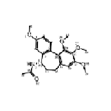 COc1ccc2c(c1)[C@@H](NC(C)=O)CCc1cc(OC)c(OC)c(OC)c1-2